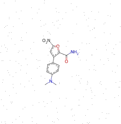 CN(C)c1ccc(-c2cc([N+](=O)[O-])oc2C(N)=O)cc1